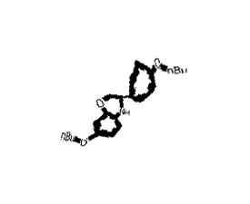 CCCCOc1ccc([C@@H]2COc3cc(OCCCC)ccc3N2)cc1